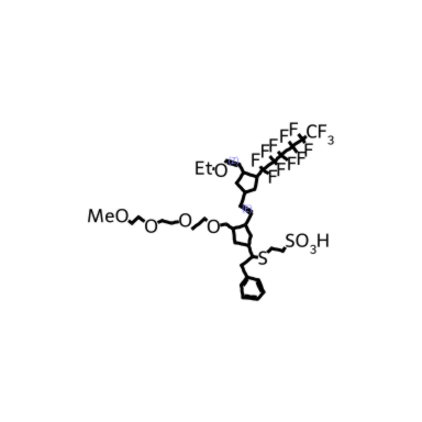 CCO/C=C\C1CC(/C=C/C2CC(C(Cc3ccccc3)SCCS(=O)(=O)O)CC2COCCOCCOCCOC)CC1C(F)(F)C(F)(F)C(F)(F)C(F)(F)C(F)(F)C(F)(F)F